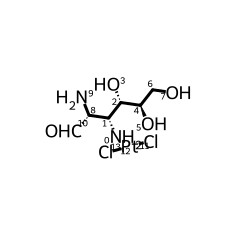 N[C@@H]([C@H](O)[C@H](O)CO)[C@@H](N)C=O.[Cl][Pt][Cl]